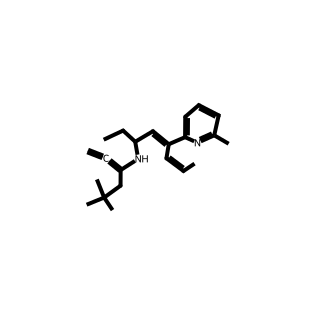 C=C=C(CC(C)(C)C)NC(/C=C(\C=C/C)c1cccc(C)n1)CC